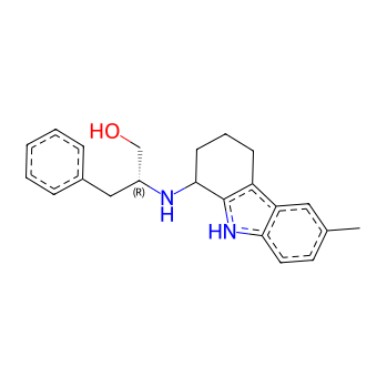 Cc1ccc2[nH]c3c(c2c1)CCCC3N[C@@H](CO)Cc1ccccc1